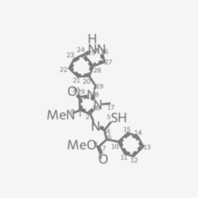 CNc1c(/N=C(\S)C(C(=O)OC)c2ccccc2)n(C)n(Cc2cccc3[nH]ncc23)c1=O